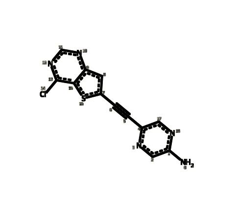 Nc1cnc(C#Cc2cc3ncnc(Cl)c3s2)cn1